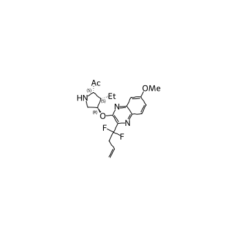 C=CCC(F)(F)c1nc2ccc(OC)cc2nc1O[C@H]1CN[C@H](C(C)=O)[C@@H]1CC